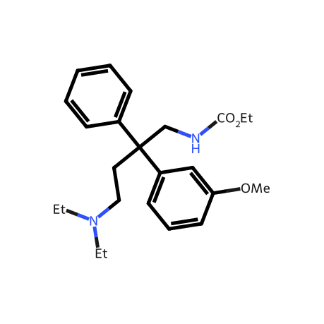 CCOC(=O)NCC(CCN(CC)CC)(c1ccccc1)c1cccc(OC)c1